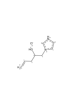 C=CCC(O)C[n+]1cc[nH]c1.[Cl-]